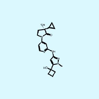 Cn1nc(Nc2cc(N3CC[C@@](C#N)(C4CC4)C3=O)ccn2)cc1C1(O)CCC1